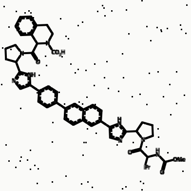 COC(=O)NC(C(=O)N1CCCC1c1ncc(-c2ccc3cc(-c4ccc(-c5cnc(C6CCCN6C(=O)C6c7ccccc7CCN6C(=O)O)[nH]5)cc4)ccc3c2)[nH]1)C(C)C